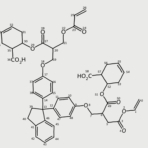 C=COC(=O)CC(COc1ccc(C2(c3ccc(OCC(COC(=O)C=C)C(=O)OC4CC=CCC4C(=O)O)cc3)CCc3ccccc32)cc1)C(=O)OC1CC=CCC1C(=O)O